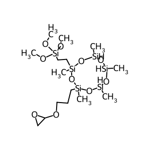 CO[Si](CC[Si]1(C)O[SiH](C)O[SiH](C)O[SiH](C)O[Si](C)(CCCOC2CO2)O1)(OC)OC